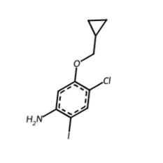 Nc1cc(OCC2CC2)c(Cl)cc1I